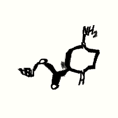 CC(C)(C)OC(=O)[C@H]1CN(N)CCN1